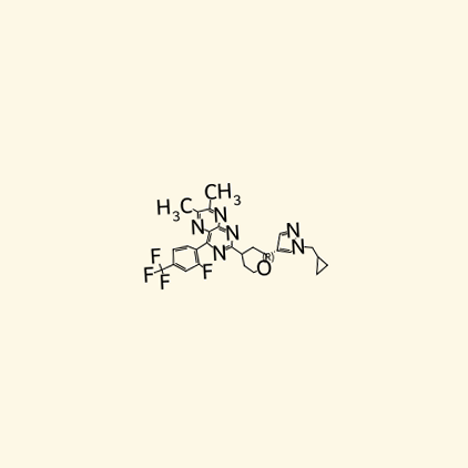 Cc1nc2nc(C3CCO[C@@H](c4cnn(CC5CC5)c4)C3)nc(-c3ccc(C(F)(F)F)cc3F)c2nc1C